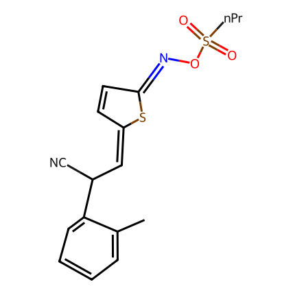 CCCS(=O)(=O)O/N=C1C=C/C(=C\C(C#N)c2ccccc2C)S/1